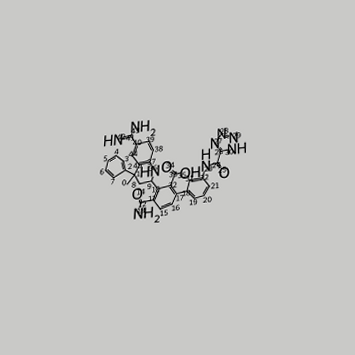 CC1(c2ccccc2)CC(c2c(C(N)=O)ccc(-c3cccc(NC(=O)c4nnn[nH]4)c3)c2C(=O)O)Nc2ccc(C(=N)N)cc21